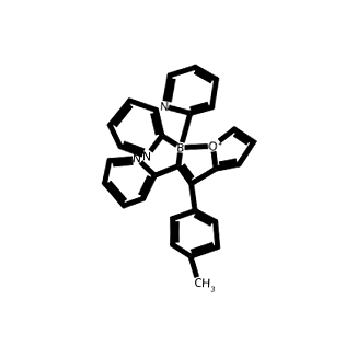 Cc1ccc(C2=C(c3ccccn3)[B-](c3ccccn3)(c3ccccn3)[o+]3cccc32)cc1